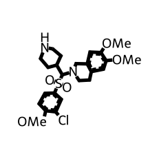 COc1ccc(S(=O)(=O)C(C2CCNCC2)N2CCc3cc(OC)c(OC)cc3C2)cc1Cl